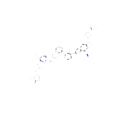 COc1nc(O[C@H]2CCc3c(-c4cccc(-c5cc6cc7c(c(C#N)c6o5)CC[C@H]7N5CC[C@@H](C(=O)O)C5)c4C)cccc32)c(C(F)(F)F)nc1CNC[C@H]1CCC(=O)N1